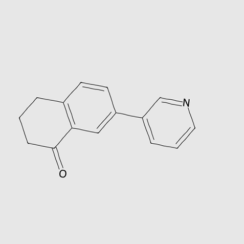 O=C1CCCc2ccc(-c3cccnc3)cc21